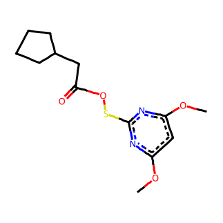 COc1cc(OC)nc(SOC(=O)CC2CCCC2)n1